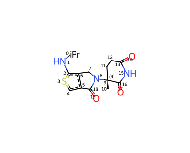 CC(C)Nc1scc2c1CN([C@]1(C)CCC(=O)NC1=O)C2=O